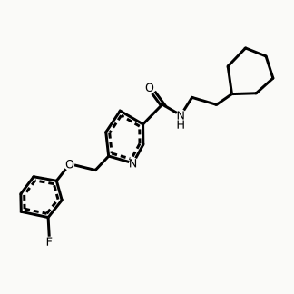 O=C(NCCC1CCCCC1)c1ccc(COc2cccc(F)c2)nc1